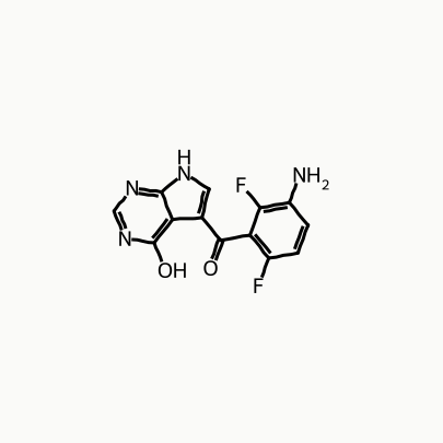 Nc1ccc(F)c(C(=O)c2c[nH]c3ncnc(O)c23)c1F